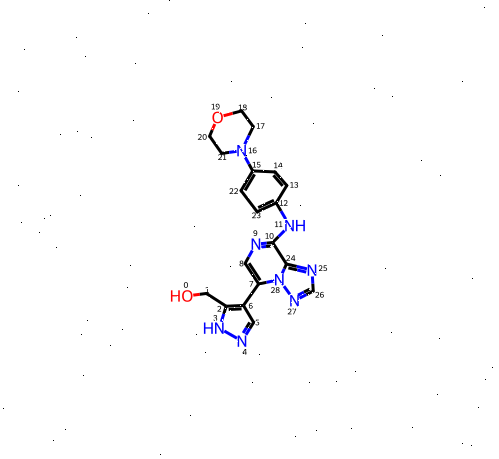 OCc1[nH]ncc1-c1cnc(Nc2ccc(N3CCOCC3)cc2)c2ncnn12